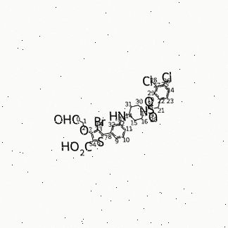 O=CCOc1c(C(=O)O)sc(-c2cccc(NC3CCN(S(=O)(=O)Cc4ccc(Cl)c(Cl)c4)CC3)c2)c1Br